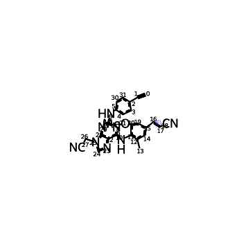 C#Cc1ccc(Nc2nc(Nc3c(C)cc(/C=C/C#N)cc3OC)c3ncn(CC#N)c3n2)cc1